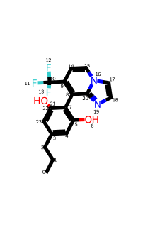 CCCc1cc(O)c(-c2c(C(F)(F)F)ccn3ccnc23)c(O)c1